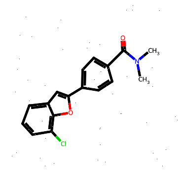 CN(C)C(=O)c1ccc(-c2cc3cccc(Cl)c3o2)cc1